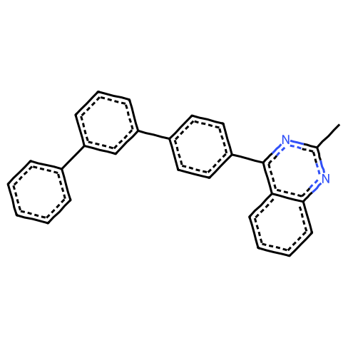 Cc1nc(-c2ccc(-c3cccc(-c4ccccc4)c3)cc2)c2ccccc2n1